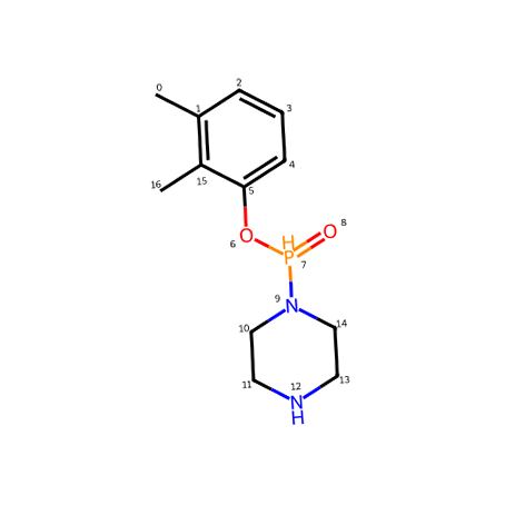 Cc1cccc(O[PH](=O)N2CCNCC2)c1C